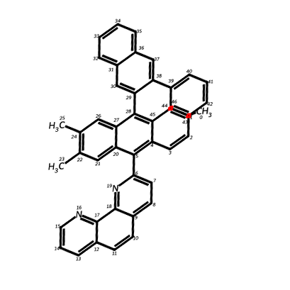 Cc1ccc2c(-c3ccc4ccc5cccnc5c4n3)c3cc(C)c(C)cc3c(-c3cc4ccccc4cc3-c3ccccc3)c2c1